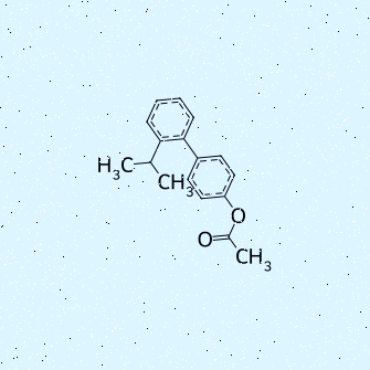 CC(=O)Oc1ccc(-c2ccccc2C(C)C)cc1